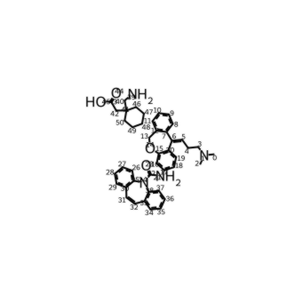 CN(C)CCC=C1c2ccccc2COc2ccccc21.NC(=O)N1c2ccccc2C=Cc2ccccc21.NCC1(CC(=O)O)CCCCC1